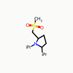 CC(C)C1CCC(CS(C)(=O)=O)N1C(C)C